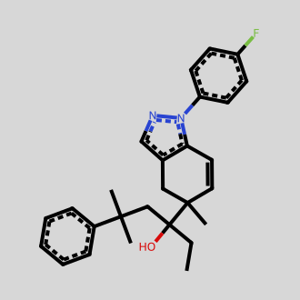 CCC(O)(CC(C)(C)c1ccccc1)C1(C)C=Cc2c(cnn2-c2ccc(F)cc2)C1